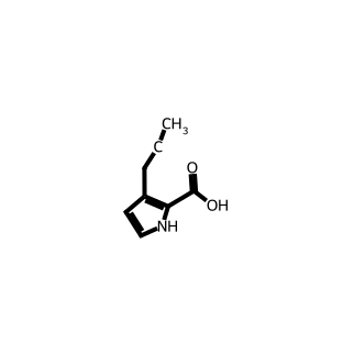 CCCc1cc[nH]c1C(=O)O